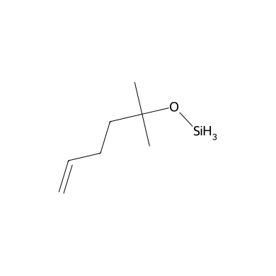 C=CCCC(C)(C)O[SiH3]